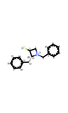 FC1CN(Cc2ccccc2)[C@@H]1Cc1ccccc1